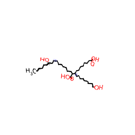 CCCCCC[C@@H](O)C/C=C\CCCCCCC(C(=O)O)/C(=C/CCCCCCCCO)CCCCCCCC(=O)O